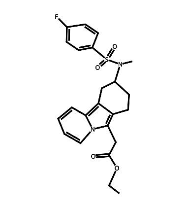 CCOC(=O)Cc1c2c(c3ccccn13)CC(N(C)S(=O)(=O)c1ccc(F)cc1)CC2